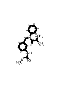 CSC(=O)Nc1cccc(CN(C(=O)C(C)C)c2ccccc2)c1